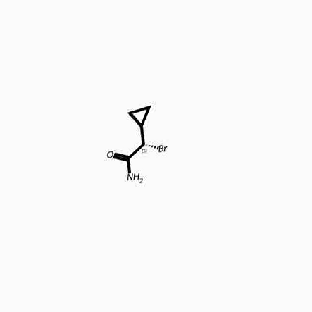 NC(=O)[C@@H](Br)C1CC1